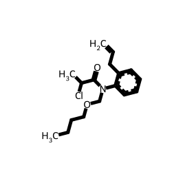 C=CCc1ccccc1N(COCCCC)C(=O)C(C)Cl